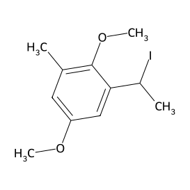 COc1cc(C)c(OC)c(C(C)I)c1